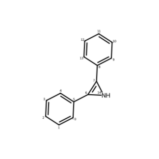 [c]1ccccc1C1=C(c2ccccc2)N1